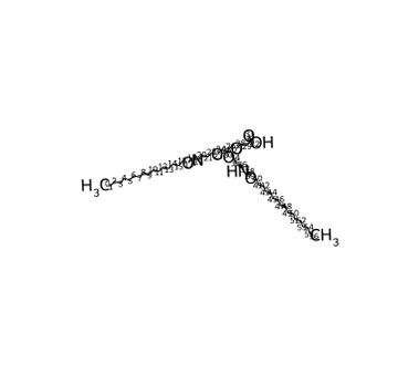 CCCCCCCC/C=C/CCCCCCCO/C=N/CCCOCC(COCCC(=O)O)OCCCNCOCCCCCCC/C=C/CCCCCCCC